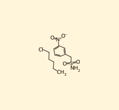 CCCCCCl.NS(=O)(=O)Cc1cccc([N+](=O)[O-])c1